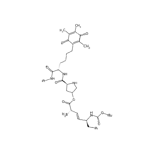 B[C@@H](/C=C/[C@H](CC(C)C)NC(=O)OC(C)(C)C)C(=O)OC1CN[C@H](C(=O)N[C@@H](CCCCC2=C(C)C(=O)C(C)=C(C)C2=O)C(=O)NC(C)C)C1